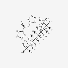 O=C(C[S+]1CCCC1)C1CCCC1.O=S(=O)([O-])C(F)(F)C(F)(F)C(F)(F)C(F)(F)C(F)(F)C(F)(F)C(F)(F)C(F)(F)F